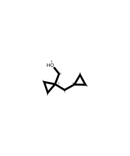 OCC1(CC2CC2)CC1